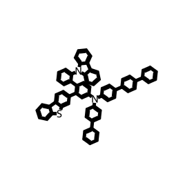 c1ccc(-c2ccc(-c3ccc(N(c4ccc(-c5ccccc5)cc4)c4ccc(-c5ccccc5-n5c6ccccc6c6ccccc65)c(-c5ccc6c(c5)sc5ccccc56)c4)cc3)cc2)cc1